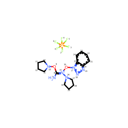 F[P-](F)(F)(F)(F)F.N/C(ON1CCCC1)=[N+](/On1nnc2ccccc21)N1CCCC1